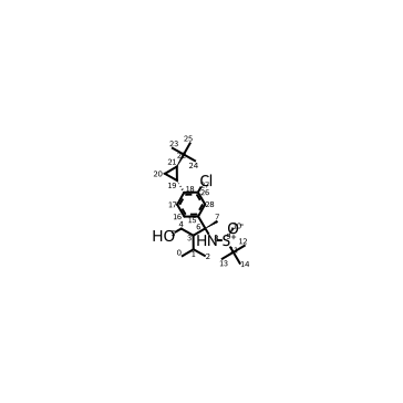 CC(C)C(CO)[C@@](C)(N[S@@+]([O-])C(C)(C)C)c1ccc([C@@H]2C[C@H]2C(C)(C)C)c(Cl)c1